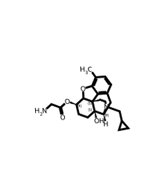 Cc1ccc2c3c1OC1[C@H](OC(=O)CN)CC[C@@]4(O)[C@@H](C2)N(CC2CC2)CC[C@]314